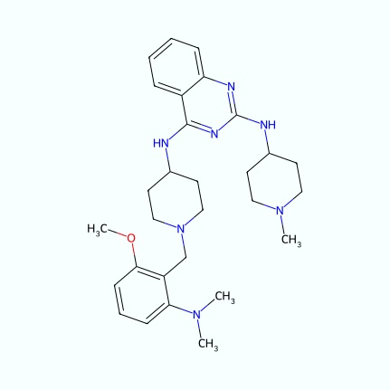 COc1cccc(N(C)C)c1CN1CCC(Nc2nc(NC3CCN(C)CC3)nc3ccccc23)CC1